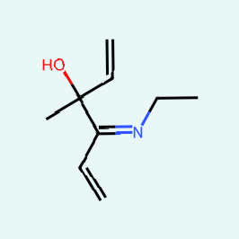 C=CC(=NCC)C(C)(O)C=C